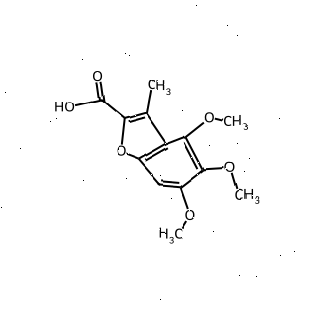 COc1cc2oc(C(=O)O)c(C)c2c(OC)c1OC